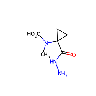 CN(C(=O)O)C1(C(=O)NN)CC1